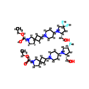 CCOC(=O)N1CCC2(CC(N3CCC(N4CC(F)(F)C[C@@H]4CO)CC3)C2)C1.CCOC(=O)N1CCC2(CC(N3CCC(N4C[C@H](F)C[C@@H]4CO)CC3)C2)C1